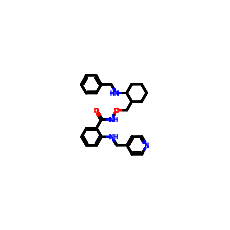 O=C(NOCC1CCCCC1NCc1ccccc1)c1ccccc1NCc1ccncc1